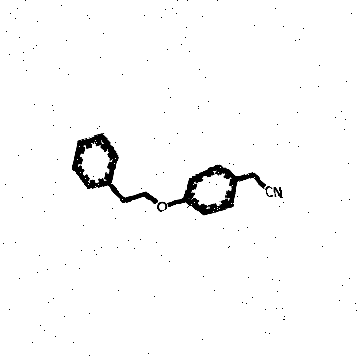 N#CCc1ccc(OCCc2ccccc2)cc1